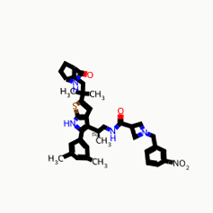 Cc1cc(C)cc(-c2[nH]c3sc(C(C)(C)CC4C5CCC4C(=O)N5)cc3c2[C@H](C)CNC(=O)C2CN(Cc3cccc([N+](=O)[O-])c3)C2)c1